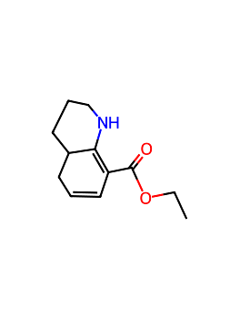 CCOC(=O)C1=C2NCCCC2CC=C1